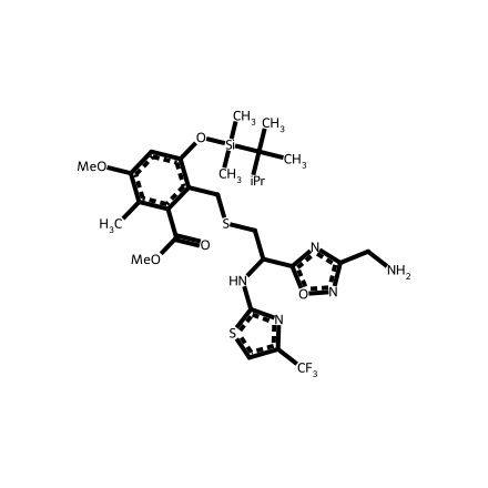 COC(=O)c1c(C)c(OC)cc(O[Si](C)(C)C(C)(C)C(C)C)c1CSCC(Nc1nc(C(F)(F)F)cs1)c1nc(CN)no1